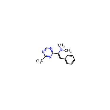 CN(C)C(=Cc1ccccc1)c1ncnc(C(Cl)(Cl)Cl)n1